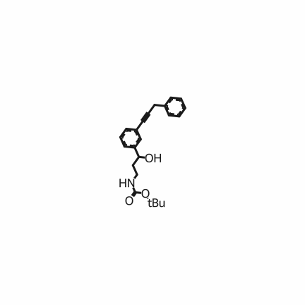 CC(C)(C)OC(=O)NCCC(O)c1cccc(C#CCc2ccccc2)c1